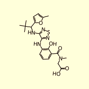 Cc1ccc(C(Nc2nsnc2Nc2cccc(C(=O)N(C)CC(=O)O)c2O)C(C)(C)C)o1